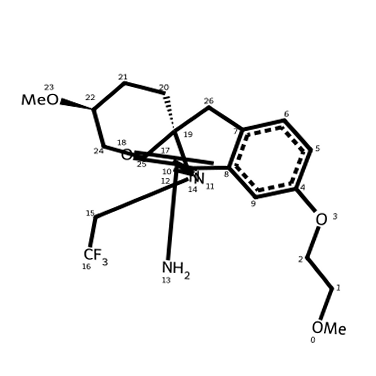 COCCOc1ccc2c(c1)C1(N=C(N)N(CC(F)(F)F)C1=O)[C@]1(CC[C@H](OC)CC1)C2